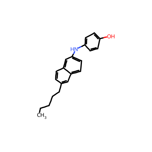 CCCCCc1ccc2cc(Nc3ccc(O)cc3)ccc2c1